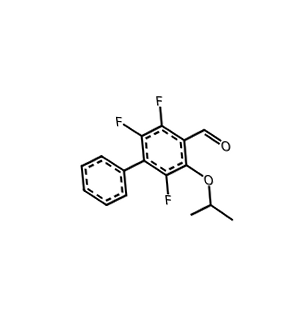 CC(C)Oc1c(F)c(-c2ccccc2)c(F)c(F)c1C=O